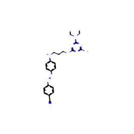 CCN(CC)c1nc(N)nc(NCCCN(C)c2ccc(/N=N/c3ccc(C#N)cc3)cc2)n1